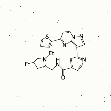 CCN1CC(F)CC1CNC(=O)c1ccnc(-c2cnn3ccc(-c4cccs4)nc23)c1